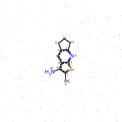 CC(=O)c1sc2nc3c(cc2c1N)CCC3